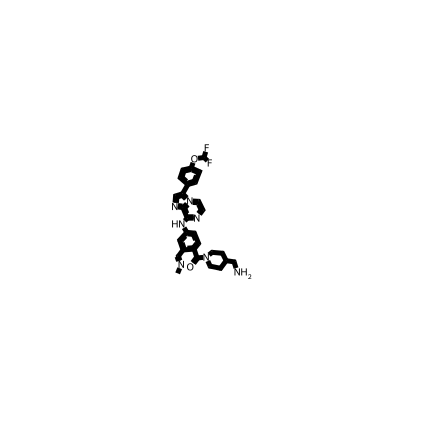 C/N=C/c1cc(Nc2nccn3c(-c4ccc(OC(F)F)cc4)cnc23)ccc1C(=O)N1CCC(CN)CC1